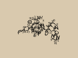 Cc1cnc2c(Oc3ncccn3)cc(C(=O)NCC(O)(c3cc4c(c(-c5ccc(F)cc5)n3)OC[C@]4(C)C(N)=O)C(F)(F)F)cc2c1